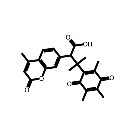 CC1=C(C)C(=O)C(C(C)(C)C(C(=O)O)c2ccc3c(C)cc(=O)oc3c2)=C(C)C1=O